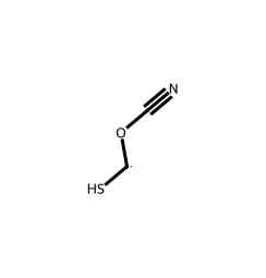 N#CO[CH]S